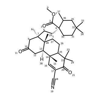 COC(=O)[C@]1(CC[C@]2(C)CC(=O)C[C@@H]3[C@@]4(C)C=C(C#N)C(=O)C(C)(C)C4CC[C@]32C)CCC(C)(C)CC1C